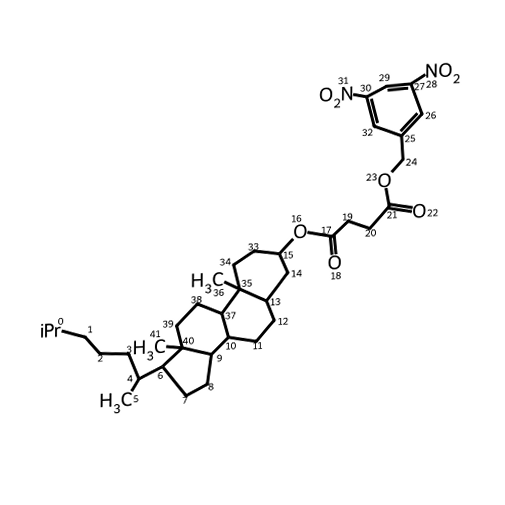 CC(C)CCCC(C)C1CCC2C3CCC4CC(OC(=O)CCC(=O)OCc5cc([N+](=O)[O-])cc([N+](=O)[O-])c5)CCC4(C)C3CCC12C